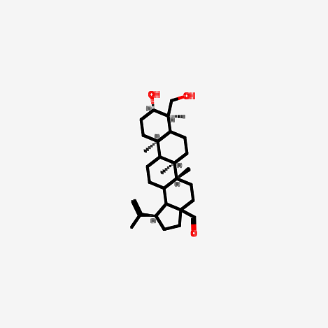 C=C(C)[C@@H]1CCC2(C=O)CC[C@]3(C)C(CCC4[C@@]5(C)CC[C@H](O)[C@@](C)(CO)C5CC[C@]43C)C12